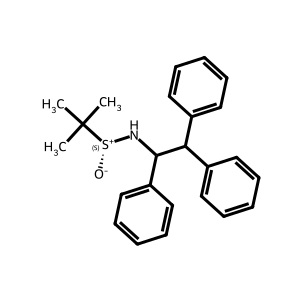 CC(C)(C)[S@@+]([O-])NC(c1ccccc1)C(c1ccccc1)c1ccccc1